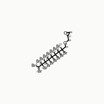 BrC(Br)C(Br)(Br)C(Br)(Br)C(Br)(Br)C(Br)(Br)C(Br)(Br)C(Br)(Br)C(Br)(Br)COCC1CO1